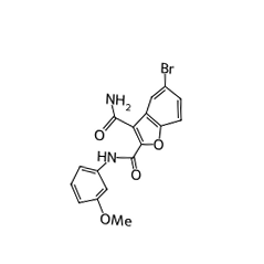 COc1cccc(NC(=O)c2oc3ccc(Br)cc3c2C(N)=O)c1